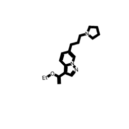 C=C(OCC)c1cnn2cc(CCCN3CCCC3)ccc12